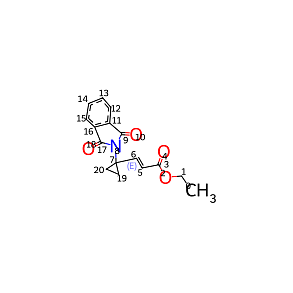 CCOC(=O)/C=C/C1(N2C(=O)c3ccccc3C2=O)CC1